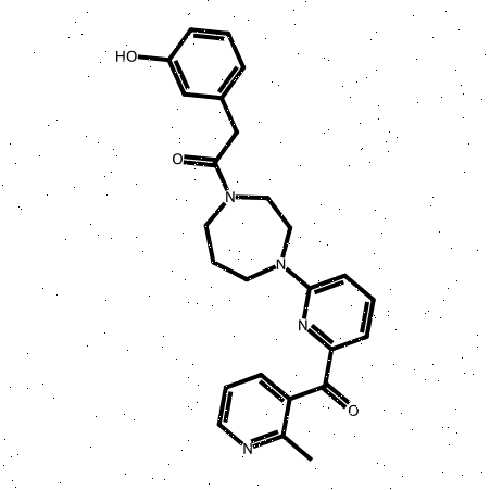 Cc1ncccc1C(=O)c1cccc(N2CCCN(C(=O)Cc3cccc(O)c3)CC2)n1